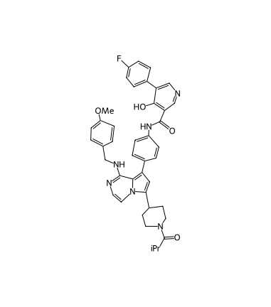 COc1ccc(CNc2nccn3c(C4CCN(C(=O)C(C)C)CC4)cc(-c4ccc(NC(=O)c5cncc(-c6ccc(F)cc6)c5O)cc4)c23)cc1